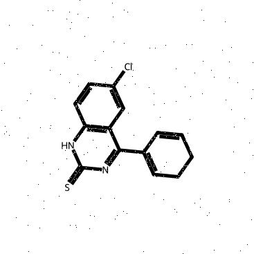 S=c1nc(C2=CCCC=C2)c2cc(Cl)ccc2[nH]1